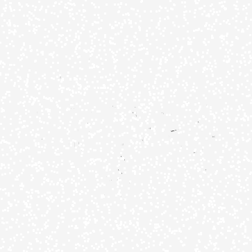 C=Cc1c(F)ccc2cc(O)cc(-c3c(Cl)cc4c(N5CC6CCC(C5)N6)nc(OC[C@@]56CCCN5C[C@H](F)C6)nc4c3F)c12